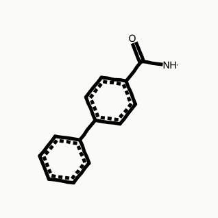 [NH]C(=O)c1ccc(-c2ccccc2)cc1